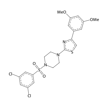 COc1cc(OC)cc(-c2csc(N3CCN(S(=O)(=O)c4cc(Cl)cc(Cl)c4)CC3)n2)c1